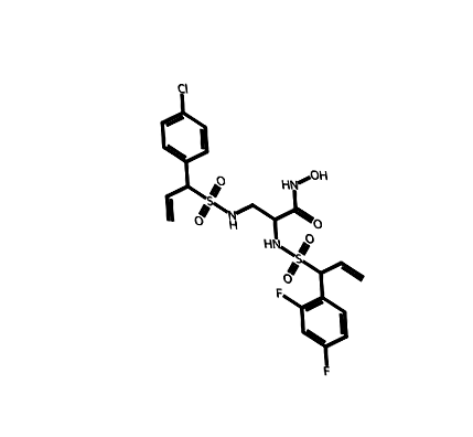 C=CC(c1ccc(Cl)cc1)S(=O)(=O)NCC(NS(=O)(=O)C(C=C)c1ccc(F)cc1F)C(=O)NO